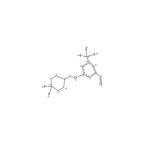 O=Cc1cc(OCC2CCC(F)(F)CC2)cc(C(F)(F)F)c1